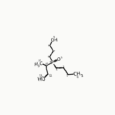 CCCCP(=O)(CCCO)C(C)CO